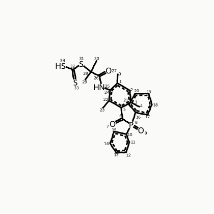 Cc1cc(C)c(C(=O)P(=O)(c2ccccc2)c2ccccc2)c(C)c1NC(=O)C(C)(C)SC(=S)S